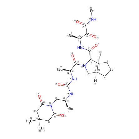 CCCC[C@H](NC(=O)[C@@H]1[C@H]2CCC[C@H]2CN1C(=O)[C@@H](NC(=O)N[C@H](CN1C(=O)CC(C)(C)CC1=O)C(C)(C)C)C(C)(C)C)C(=O)C(=O)NCC